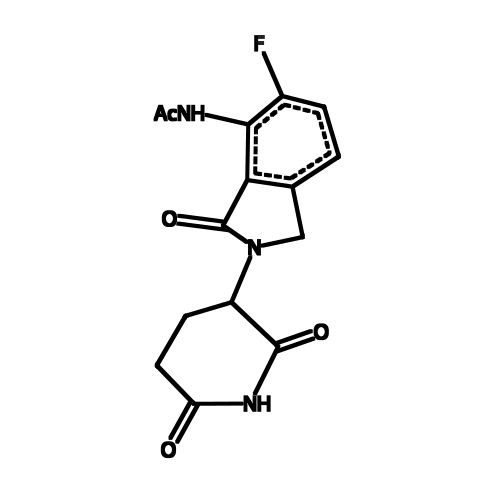 CC(=O)Nc1c(F)ccc2c1C(=O)N(C1CCC(=O)NC1=O)C2